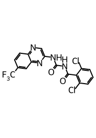 O=C(NC(=O)c1c(Cl)cccc1Cl)Nc1cnc2ccc(C(F)(F)F)cc2n1